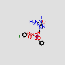 Nc1nc2c(ncn2CCOCP(=O)(OCOC(=O)Oc2ccc(F)cc2)OCc2ccccc2)c(=O)[nH]1